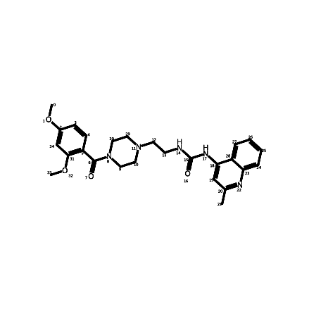 COc1ccc(C(=O)N2CCN(CCNC(=O)Nc3cc(C)nc4ccccc34)CC2)c(OC)c1